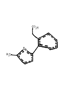 Cc1ccc(-c2ccccc2CC(=O)O)[se]1